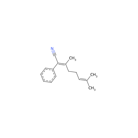 CC(C)=CCCC(C)=C(C#N)c1ccccc1